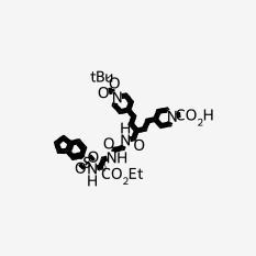 CCOC(=O)[C@H](CNC(=O)CNC(=O)C(CCC1CCN(C(=O)O)CC1)CCC1CCN(C(=O)OC(C)(C)C)CC1)NS(=O)(=O)c1ccc2c(c1)CCC2